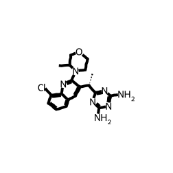 CC1COCCN1c1nc2c(Cl)cccc2cc1[C@H](C)c1nc(N)nc(N)n1